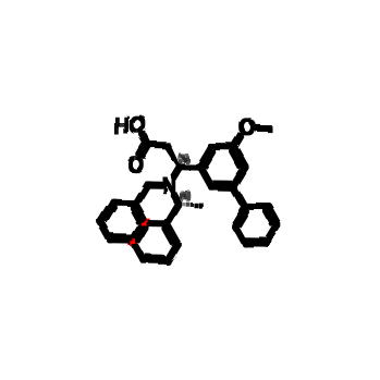 COc1cc(-c2ccccc2)cc([C@H](CC(=O)O)N(Cc2ccccc2)[C@H](C)c2ccccc2)c1